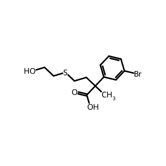 CC(CCSCCO)(C(=O)O)c1cccc(Br)c1